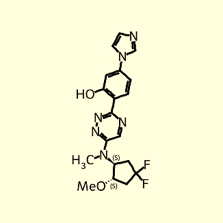 CO[C@H]1CC(F)(F)C[C@@H]1N(C)c1cnc(-c2ccc(-n3ccnc3)cc2O)nn1